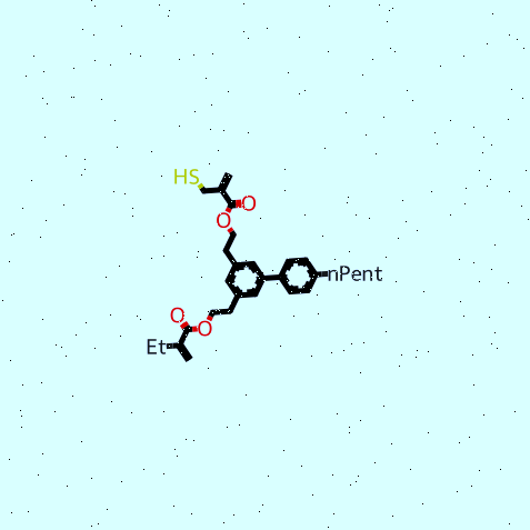 C=C(CC)C(=O)OCCc1cc(CCOC(=O)C(=C)CS)cc(-c2ccc(CCCCC)cc2)c1